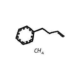 C.C=CCCc1ccccc1